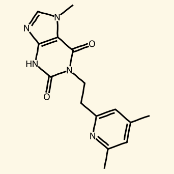 Cc1cc(C)nc(CCn2c(=O)[nH]c3ncn(C)c3c2=O)c1